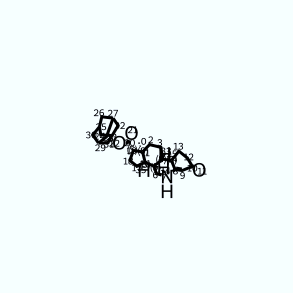 C[C@]12CC[C@H]3[C@@H](CNC4=CC(=O)CC[C@@]43C)[C@@H]1CC[C@@H]2C(=O)OC12CC3CC(CC(C3)C1)C2